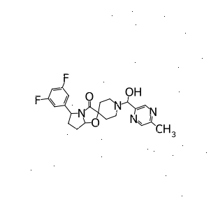 Cc1cnc(C(O)N2CCC3(CC2)OC2CCC(c4cc(F)cc(F)c4)N2C3=O)cn1